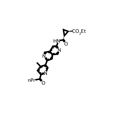 CCCC(=O)c1cc(C)c(-c2cc3cnc(NC(=O)[C@@H]4C[C@H]4C(=O)OCC)cc3cn2)cn1